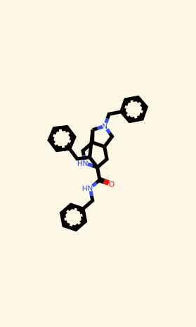 O=C(NCc1ccccc1)C12CC3CN(Cc4ccccc4)C(C3CN1)C2Cc1ccccc1